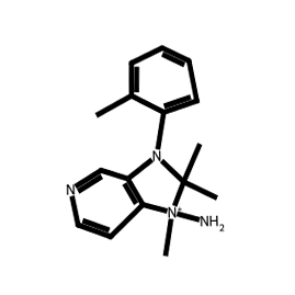 Cc1ccccc1N1c2cnccc2[N+](C)(N)C1(C)C